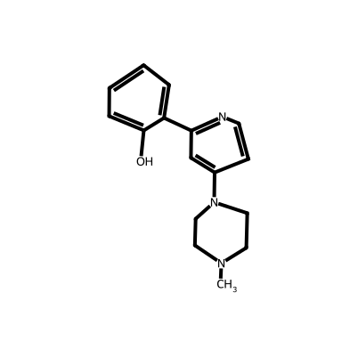 CN1CCN(c2ccnc(-c3ccccc3O)c2)CC1